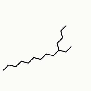 CCCCCCC[CH]CC(CC)CCCC